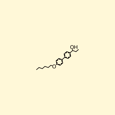 CCCCCCOc1ccc(-c2ccc(C(O)CC)cc2)cc1